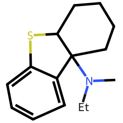 CCN(C)C12CCCCC1Sc1ccccc12